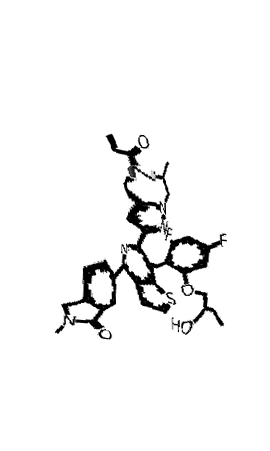 C=CC(=O)N1Cc2cc(-c3nc(-c4ccc5c(c4)C(=O)N(C)C5)c4ccsc4c3-c3c(F)cc(F)cc3OCC(C)O)nn2CC1C